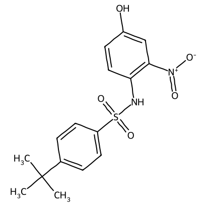 CC(C)(C)c1ccc(S(=O)(=O)Nc2ccc(O)cc2[N+](=O)[O-])cc1